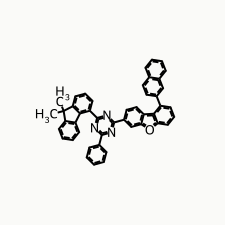 CC1(C)c2ccccc2-c2c(-c3nc(-c4ccccc4)nc(-c4ccc5c(c4)oc4cccc(-c6ccc7ccccc7c6)c45)n3)cccc21